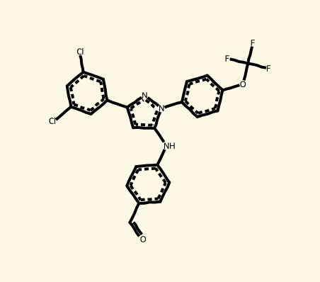 O=Cc1ccc(Nc2cc(-c3cc(Cl)cc(Cl)c3)nn2-c2ccc(OC(F)(F)F)cc2)cc1